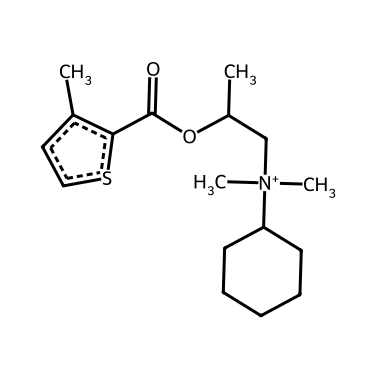 Cc1ccsc1C(=O)OC(C)C[N+](C)(C)C1CCCCC1